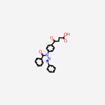 O=C(O)CCC(=O)c1ccc(N(N=Nc2ccccc2)C(=O)c2ccccc2)cc1